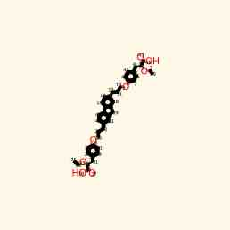 CCO[C@@H](Cc1ccc(OCCCc2ccc3c(c2)Cc2cc(CCCOc4ccc(C[C@H](OCC)C(=O)O)cc4)ccc2-3)cc1)C(=O)O